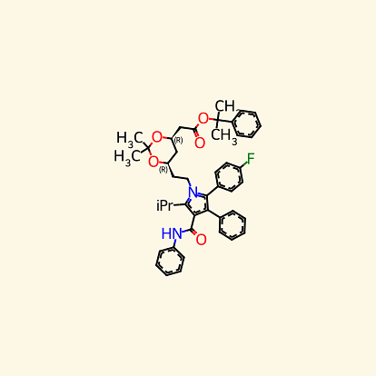 CC(C)c1c(C(=O)Nc2ccccc2)c(-c2ccccc2)c(-c2ccc(F)cc2)n1CC[C@@H]1C[C@H](CC(=O)OC(C)(C)c2ccccc2)OC(C)(C)O1